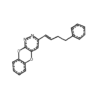 C(=Cc1cc2c(nn1)Oc1ccccc1O2)CCc1ccccc1